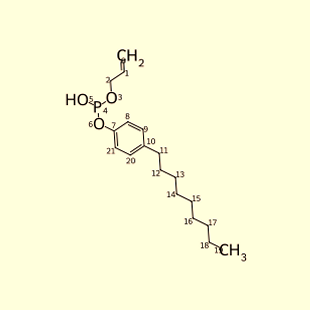 C=CCOP(O)Oc1ccc(CCCCCCCCC)cc1